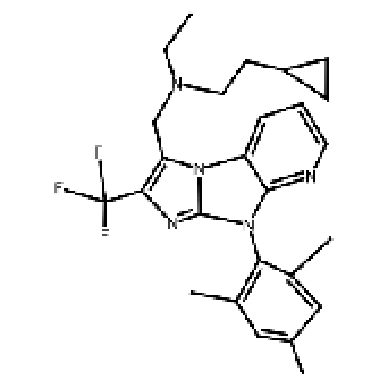 CCN(CCC1CC1)Cc1c(C(F)(F)F)nc2n(-c3c(C)cc(C)cc3C)c3ncccc3n12